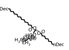 CCCCCCCCCCCCCCCCCCCCCCCC(=O)O[C@H](COC(=O)CCCCCCCCCCCCCCCCC)COP(=O)(O)OCC[N+](C)(C)C